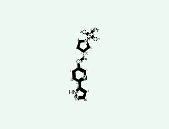 CC(C)S(=O)(=O)N1CC[C@@H](COc2ccc(-c3ccn[nH]3)nc2)C1